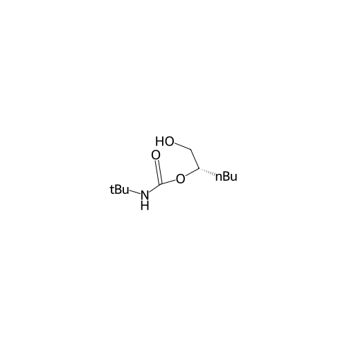 CCCC[C@@H](CO)OC(=O)NC(C)(C)C